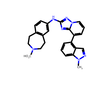 Cn1ncc2c(-c3cccn4nc(Nc5ccc6c(c5)CCN(C(=O)O)CC6)nc34)cccc21